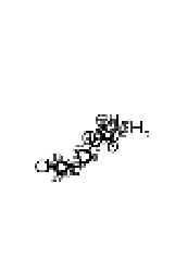 CCOC(=O)C(CC(=O)c1ccc(Oc2ccc(Cl)cc2)cc1)SC(C)=O